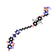 CC(C)(c1ccc(OCCCCCCCCCN2CCN(C3CN(c4ccc5c(c4)C(=O)N(C4CCC(=O)NC4=O)C5=O)C3)CC2)cc1)c1ccc(OCc2ccnc(CS(N)(=O)=O)n2)cc1